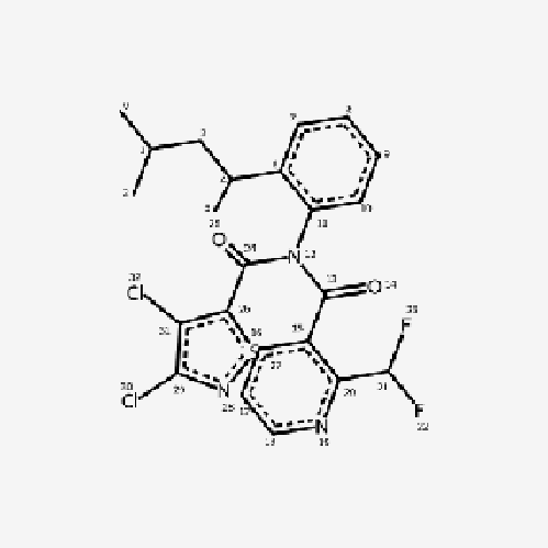 CC(C)CC(C)c1ccccc1N(C(=O)c1cccnc1C(F)F)C(=O)c1snc(Cl)c1Cl